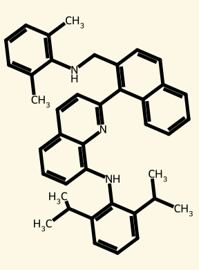 Cc1cccc(C)c1NCc1ccc2ccccc2c1-c1ccc2cccc(Nc3c(C(C)C)cccc3C(C)C)c2n1